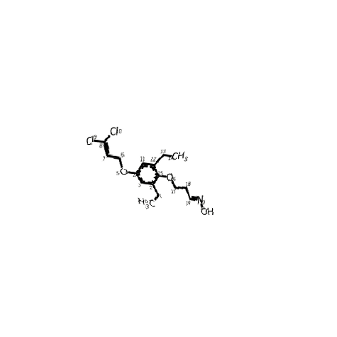 CCc1cc(OCC=C(Cl)Cl)cc(CC)c1OCC/C=N/O